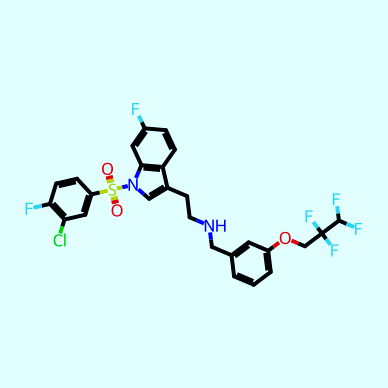 O=S(=O)(c1ccc(F)c(Cl)c1)n1cc(CCNCc2cccc(OCC(F)(F)C(F)F)c2)c2ccc(F)cc21